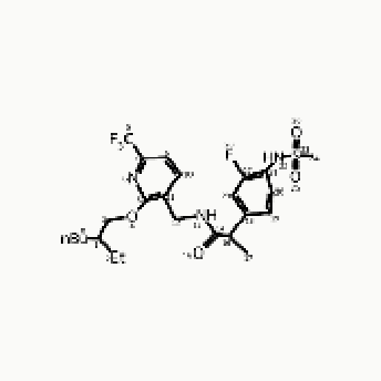 CCCCC(CC)COc1nc(C(F)(F)F)ccc1CNC(=O)C(C)c1ccc(NS(C)(=O)=O)c(F)c1